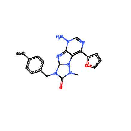 COc1ccc(CN2C(=O)N(C)N3C4=C(c5ccco5)N=CN(N)C4=NC23)cc1